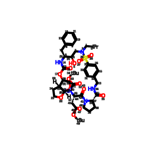 CC(C)CN(C[C@@H](O)[C@H](Cc1ccccc1)NC(=O)O[C@H]1CO[C@H]2OCC[C@H]21)S(=O)(=O)c1ccc(CNC(=O)[C@@H]2CCCN2C(=O)[C@H](CC(=O)OC(C)(C)C)NC(=O)OC(C)(C)C)cc1